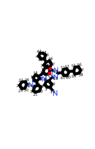 N#Cc1ccc(-n2c3ccccc3c3ccc4c(c5ccccc5n4-c4ccccc4)c32)c(-c2nc(-c3ccc(-c4ccccc4)cc3)nc(-c3ccc(-c4ccccc4)cc3)n2)c1